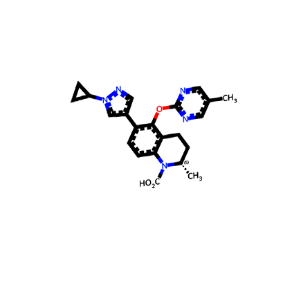 Cc1cnc(Oc2c(-c3cnn(C4CC4)c3)ccc3c2CC[C@H](C)N3C(=O)O)nc1